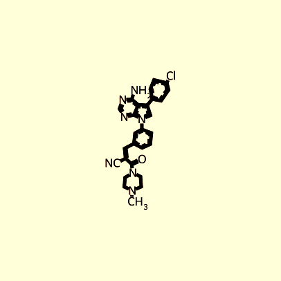 CN1CCN(C(=O)/C(C#N)=C\c2cccc(-n3cc(-c4ccc(Cl)cc4)c4c(N)ncnc43)c2)CC1